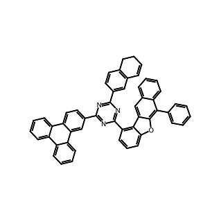 C1=Cc2cc(-c3nc(-c4ccc5c6ccccc6c6ccccc6c5c4)nc(-c4cccc5oc6c(-c7ccccc7)c7ccccc7cc6c45)n3)ccc2CC1